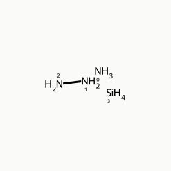 N.NN.[SiH4]